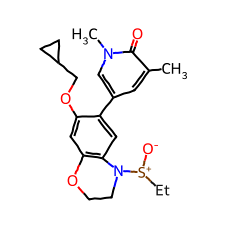 CC[S+]([O-])N1CCOc2cc(OCC3CC3)c(-c3cc(C)c(=O)n(C)c3)cc21